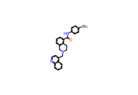 CC(C)(C)c1ccc(NC(=O)c2cccc3c2CCN(Cc2ccnc4ccccc24)C3)cc1